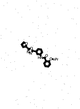 CCCOc1ccccc1C(=O)Nc1cccc(-c2nnc(-c3ccco3)o2)c1